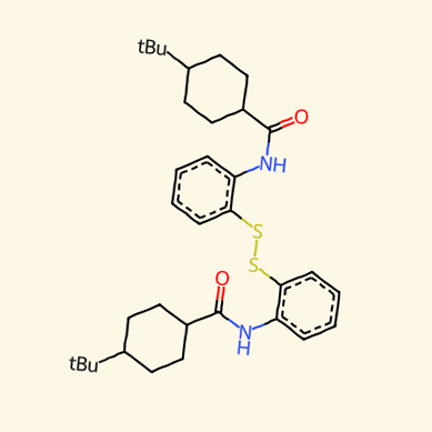 CC(C)(C)C1CCC(C(=O)Nc2ccccc2SSc2ccccc2NC(=O)C2CCC(C(C)(C)C)CC2)CC1